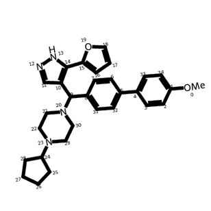 COc1ccc(-c2ccc(C(c3cn[nH]c3-c3ccco3)N3CCN(C4CCCC4)CC3)cc2)cc1